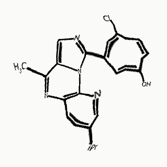 Cc1nc2cc(C(C)C)cnc2n2c(-c3cc(O)ccc3Cl)ncc12